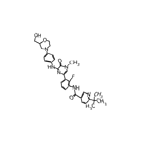 Cn1cc(-c2cccc(NC(=O)c3ccc(C(C)(C)C)nc3)c2F)nc(Nc2ccc(N3CCOC(CO)C3)cc2)c1=O